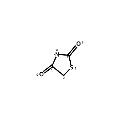 O=C1CSC(=O)[N]1